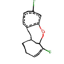 FC1=CCCC2c3ccc(Cl)cc3OC12